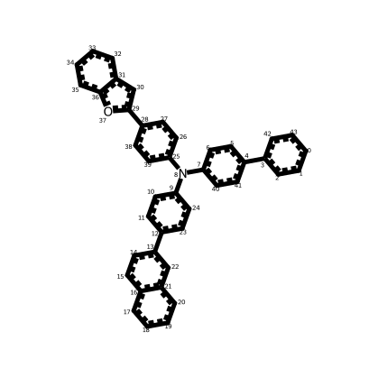 c1ccc(-c2ccc(N(c3ccc(-c4ccc5ccccc5c4)cc3)c3ccc(-c4cc5ccccc5o4)cc3)cc2)cc1